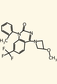 COC1CN(c2nc(=O)n(-c3ccccc3C)c3cc(C(F)(F)F)ccc23)C1